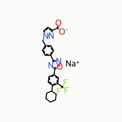 O=C([O-])c1ccn(Cc2ccc(-c3noc(-c4ccc(C5CCCCC5)c(C(F)(F)F)c4)n3)cc2)n1.[Na+]